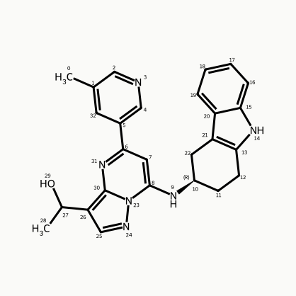 Cc1cncc(-c2cc(N[C@@H]3CCc4[nH]c5ccccc5c4C3)n3ncc(C(C)O)c3n2)c1